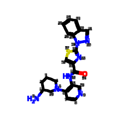 NC1CCCN(c2ccncc2NC(=O)c2csc(-n3ncc4ccccc43)n2)C1